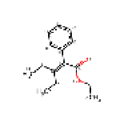 CCOC(=O)C(=C(CC)CC)c1ccccc1